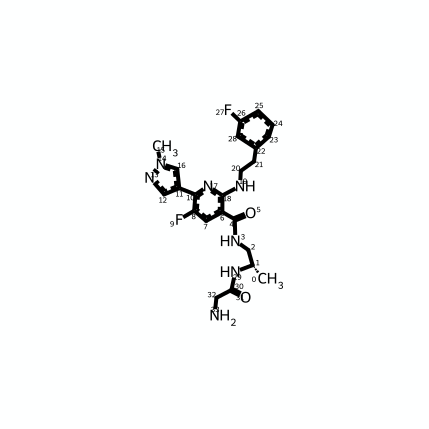 C[C@@H](CNC(=O)c1cc(F)c(-c2cnn(C)c2)nc1NCCc1cccc(F)c1)NC(=O)CN